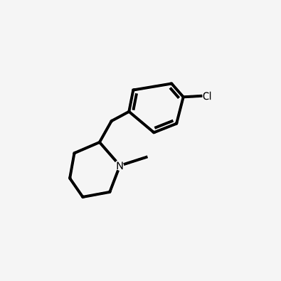 CN1CCCCC1Cc1ccc(Cl)cc1